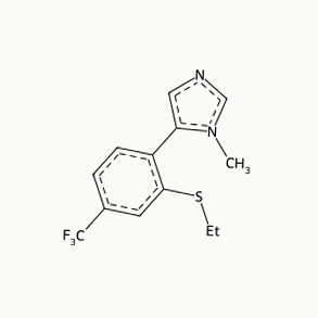 CCSc1cc(C(F)(F)F)ccc1-c1cncn1C